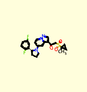 CC1(S(=O)(=O)CC(=O)c2cnn3ccc(N4CCC[C@@H]4c4cc(F)ccc4F)cc23)CC1